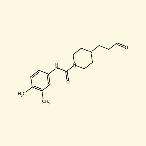 Cc1ccc(NC(=O)N2CCN(CC[C]=O)CC2)cc1C